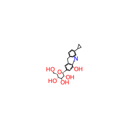 N#Cc1c(O)cc([C@@H]2O[C@H](CO)[C@@H](O)[C@H](O)[C@H]2O)cc1Cc1ccc(C2CC2)cc1